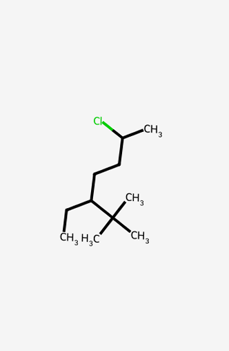 CCC(CCC(C)Cl)C(C)(C)C